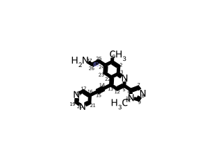 Cc1cc2nc(-c3cncn3C)cc(C#Cc3cncnc3)c2cc1/C=C/N